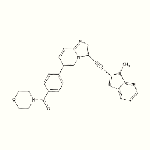 Cn1c(C#Cc2cnc3ccc(-c4ccc(C(=O)N5CCOCC5)cc4)cn23)cc2cccnc21